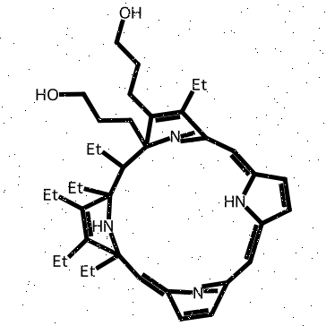 CCC1=C(CCCO)C2(CCCO)N=C1/C=c1/cc/c([nH]1)=C/C1=NC(=C\C3(CC)NC(CC)(C(CC)=C3CC)C2CC)/C=C1